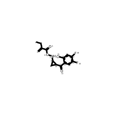 C=C(CC)C(=O)ONC1CC1C(=O)c1cc(F)c(F)cc1Cl